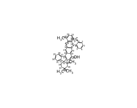 Cc1ccccc1Sc1cc2c(O)cc3c(c2cc1Sc1ccccc1C)-c1ccccc1C31CCC(C)(C)CC1C